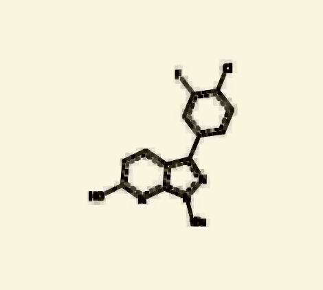 CC(C)(C)n1nc(-c2ccc(Cl)c(F)c2)c2ccc(O)nc21